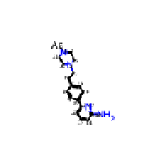 CC(=O)N1CCN(CCc2ccc(-c3cccc(N)n3)cc2)CC1